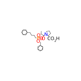 CC(OP(=O)(CCCCc1ccccc1)OCc1ccccc1)C(=O)N1CCC[C@H]1C(=O)O